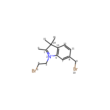 CC1=[N+](CCBr)c2cc(CBr)ccc2C1(C)C